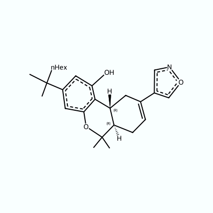 CCCCCCC(C)(C)c1cc(O)c2c(c1)OC(C)(C)[C@@H]1CC=C(c3cnoc3)C[C@@H]21